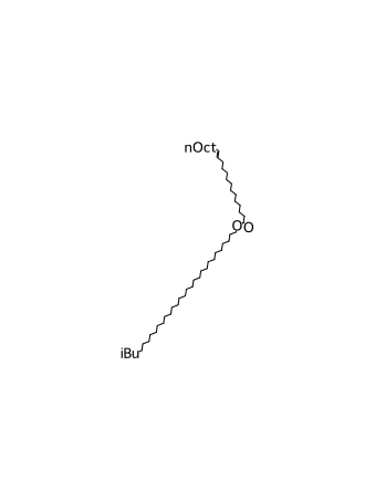 CCCCCCCCC=CCCCCCCCCCCCC(=O)OCCCCCCCCCCCCCCCCCCCCCCCCCCCC(C)CC